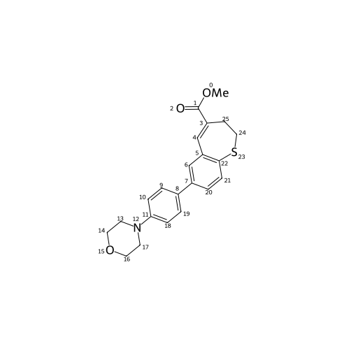 COC(=O)C1=Cc2cc(-c3ccc(N4CCOCC4)cc3)ccc2SCC1